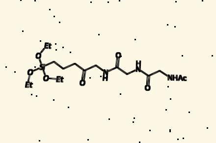 CCO[Si](CCCC(=O)CNC(=O)CNC(=O)CNC(C)=O)(OCC)OCC